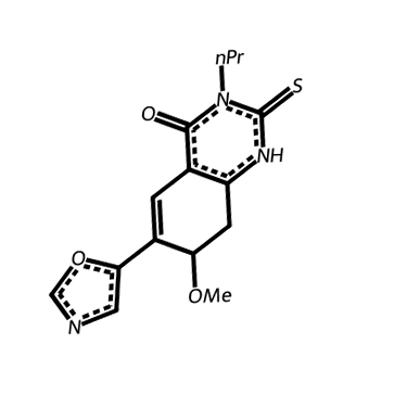 CCCn1c(=S)[nH]c2c(c1=O)C=C(c1cnco1)C(OC)C2